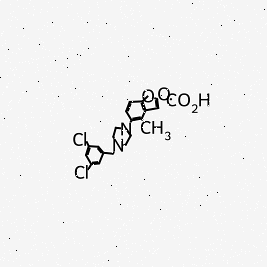 Cc1c(N2CCN(Cc3cc(Cl)cc(Cl)c3)CC2)ccc2oc(OC(=O)O)cc12